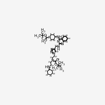 CC(C)(C)OC(=O)N1CCC(Nc2nc(NCc3cn(CCN(CCNC4CCCCC4)C(=O)OC(C)(C)C)nn3)nc3ccccc23)CC1